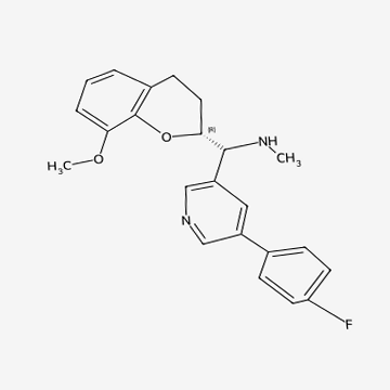 CNC(c1cncc(-c2ccc(F)cc2)c1)[C@H]1CCc2cccc(OC)c2O1